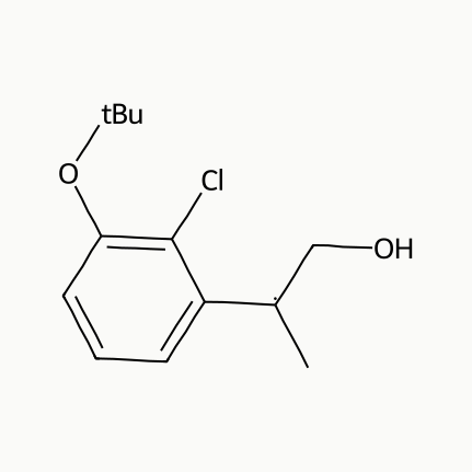 C[C](CO)c1cccc(OC(C)(C)C)c1Cl